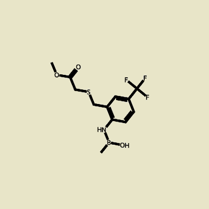 COC(=O)CSCc1cc(C(F)(F)F)ccc1NB(C)O